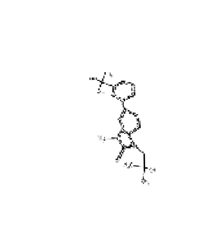 Cn1c(=O)n(CC(C)(C)C)c2ccc(-c3cccc(C(C)(C)O)c3)cc21